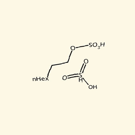 CCCCCCCCOS(=O)(=O)O.O=[SH](=O)O